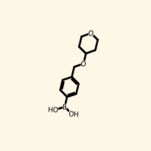 OB(O)c1ccc(COC2CCOCC2)cc1